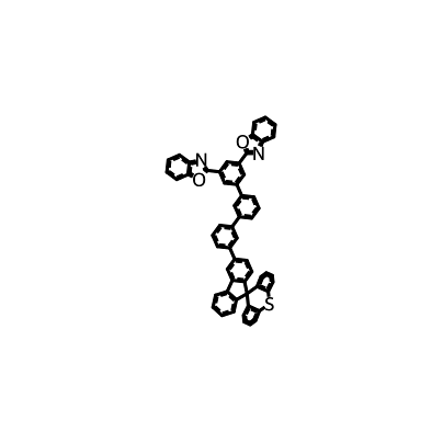 c1cc(-c2cccc(-c3ccc4c(c3)-c3ccccc3C43c4ccccc4Sc4ccccc43)c2)cc(-c2cc(-c3nc4ccccc4o3)cc(-c3nc4ccccc4o3)c2)c1